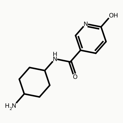 NC1CCC(NC(=O)c2ccc(O)nc2)CC1